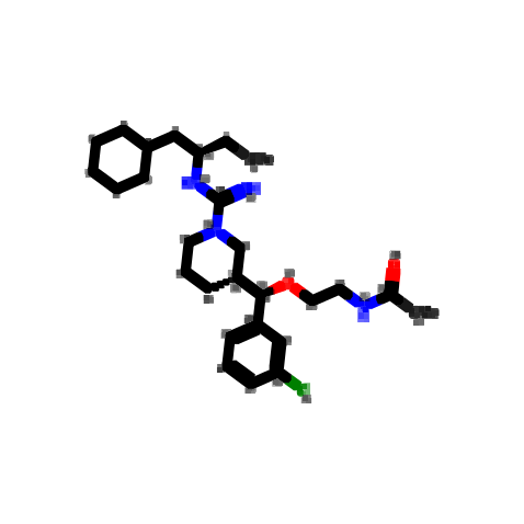 CNC[C@H](CC1CCCCC1)NC(=N)N1CCC[C@@H]([C@@H](OCCNC(=O)OC)c2cccc(Cl)c2)C1